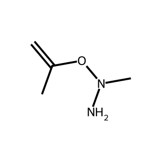 C=C(C)ON(C)N